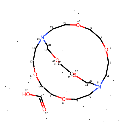 C1COCCN2CCOCCOCCN(CCO1)CCOCCOCC2.O=CO